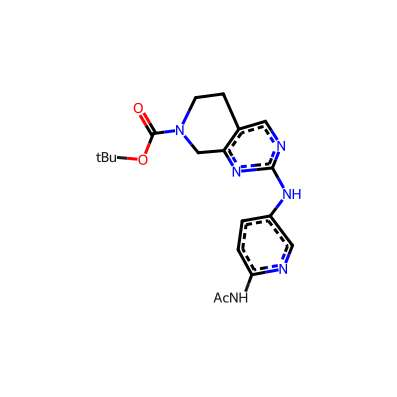 CC(=O)Nc1ccc(Nc2ncc3c(n2)CN(C(=O)OC(C)(C)C)CC3)cn1